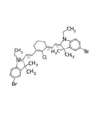 CCN1/C(=C/C=C2\CCCC(/C=C/C3=[N+](CC)c4ccc(Br)cc4C3(C)C)=C2Cl)C(C)(C)c2cc(Br)ccc21